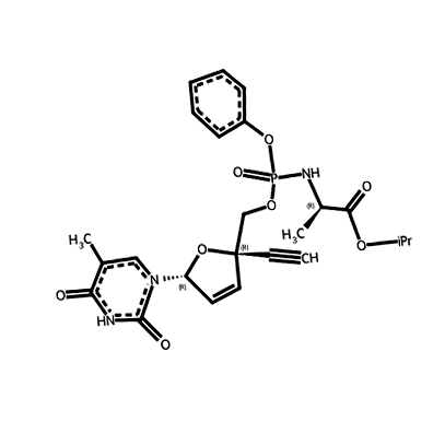 C#C[C@@]1(COP(=O)(N[C@H](C)C(=O)OC(C)C)Oc2ccccc2)C=C[C@H](n2cc(C)c(=O)[nH]c2=O)O1